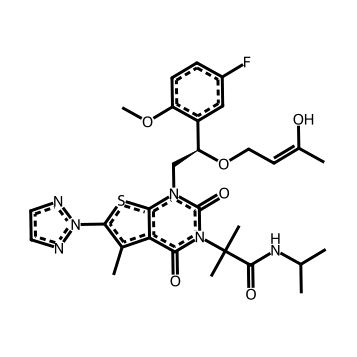 COc1ccc(F)cc1[C@H](Cn1c(=O)n(C(C)(C)C(=O)NC(C)C)c(=O)c2c(C)c(-n3nccn3)sc21)OCC=C(C)O